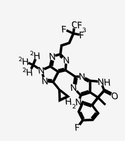 [2H]C([2H])([2H])n1nc(C2CC2)c2c(-c3nc(N)c4c(n3)NC(=O)C4(C)c3ccc(F)cc3)nc(CCC(F)(F)C(F)(F)F)nc21